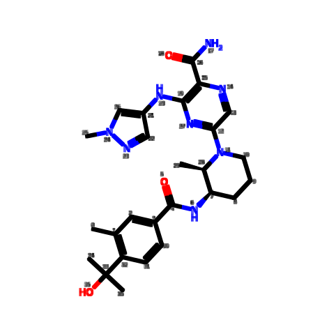 Cc1cc(C(=O)N[C@@H]2CCCN(c3cnc(C(N)=O)c(Nc4cnn(C)c4)n3)[C@@H]2C)ccc1C(C)(C)O